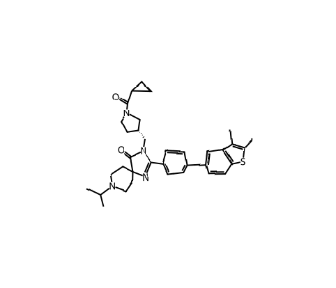 Cc1sc2ccc(-c3ccc(C4=NC5(CCN(C(C)C)CC5)C(=O)N4C[C@@H]4CCN(C(=O)C5CC5)C4)cc3)cc2c1C